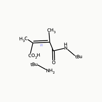 C/C(C(=O)O)=C(\C)C(=O)NC(C)(C)C.CC(C)(C)N